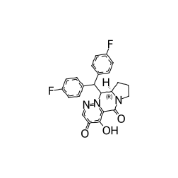 O=C1c2c(O)c(=O)cnn2C(C(c2ccc(F)cc2)c2ccc(F)cc2)[C@H]2CCCN12